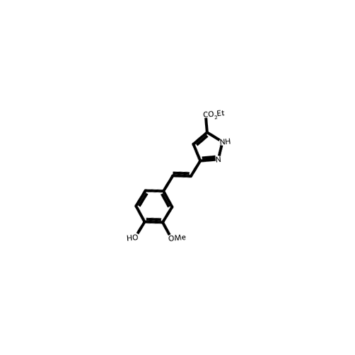 CCOC(=O)c1cc(C=Cc2ccc(O)c(OC)c2)n[nH]1